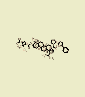 CC(C)C1CC[C@]2(C(=O)N3CCC[C@H]3c3ncc(-c4ccccc4)[nH]3)CC[C@]3(C)[C@H](CC[C@@H]4[C@@]5(C)CC[C@H](OC(=O)[C@H]6C[C@@H](C(=O)O)C6(C)C)C(C)(C)[C@@H]5CC[C@]43C)[C@@H]12